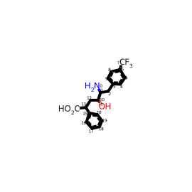 NC(Cc1ccc(C(F)(F)F)cc1)C(O)CC(C(=O)O)c1ccccc1